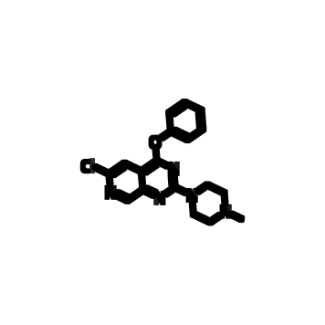 CN1CCN(c2nc(Oc3ccccc3)c3cc(Cl)ncc3n2)CC1